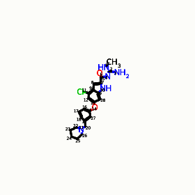 CNC(N)=NC(=O)c1cc2c(Cl)cc(Oc3cccc(CN4CCCCC4)c3)cc2[nH]1